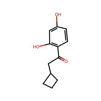 O=C(CC1CCC1)c1ccc(O)cc1O